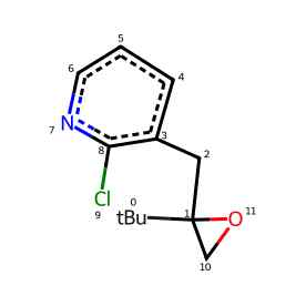 CC(C)(C)C1(Cc2cccnc2Cl)CO1